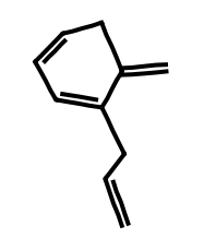 C=CCC1=CC=CCC1=C